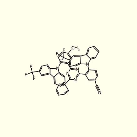 Cc1ccc(-n2c3ccccc3c3cc(C(F)(F)F)ccc32)c(-c2nc(-c3ccccc3)nc(-c3cc(C#N)ccc3-n3c4ccccc4c4cc(C(F)(F)F)ccc43)n2)c1